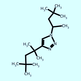 CC(CC(C)(C)C)n1cc(C(C)(C)CC(C)(C)C)nn1